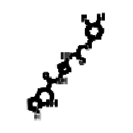 O=C(COc1ccc(Cl)c(F)c1)NC12CC(NC(=O)C3CNc4[nH]ccc4C3)(C1)C2